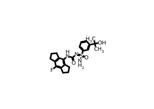 CC(C)(O)c1cccc([S@@](N)(=O)=NC(=O)Nc2c3c(c(F)c4c2CCC4)CCC3)c1